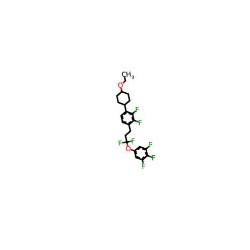 CCOC1CCC(c2ccc(CCC(F)(F)Oc3cc(F)c(F)c(F)c3)c(F)c2F)CC1